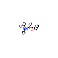 O=C(Cc1cccc2ccccc12)N(CCn1nc(-c2ccncc2)nc1-c1ccccc1Cl)C1CCCC1